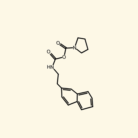 O=C(NCCc1ccc2ccccc2c1)OC(=O)N1CCCC1